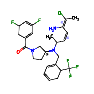 C/C(Cl)=C(N)\C=C/C(C)N(CC1=CC=CCC1C(F)(F)F)[C@H]1CCN(C(=O)C2=CC(F)=CC(F)C2)C1